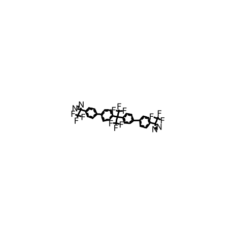 FC(F)(F)C1(c2ccc(-c3ccc(C(c4ccc(-c5ccc(C6(C(F)(F)F)N=N6)cc5)cc4)(C(F)(F)F)C(F)(F)F)cc3)cc2)N=N1